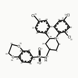 O=S(=O)(NC1CCN(c2ccc(Cl)cc2Cl)[C@H](c2ccc(Cl)cc2)C1)c1ccc2c(c1)OCCO2